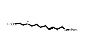 CCCCCOCCC=CCCCCSCCC(=O)O